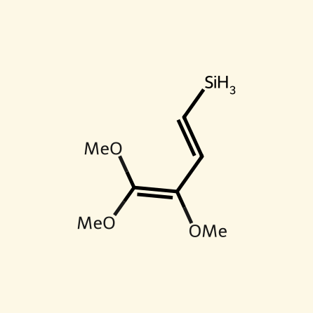 COC(C=C[SiH3])=C(OC)OC